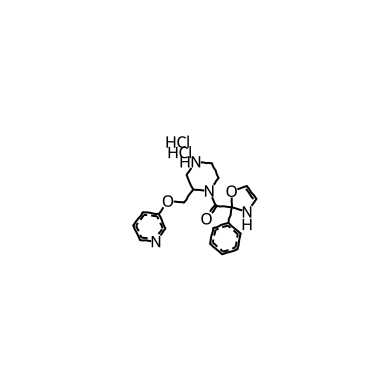 Cl.Cl.O=C(N1CCNCC1COc1cccnc1)C1(c2ccccc2)NC=CO1